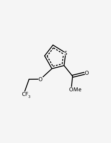 COC(=O)c1sccc1OCC(F)(F)F